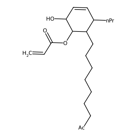 C=CC(=O)OC1C(O)C=CC(CCC)C1CCCCCCCC(C)=O